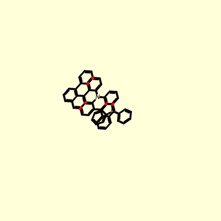 c1ccc(-c2cccc3cccc(-c4ccccc4N(c4ccccc4-c4cccc5ccccc45)c4cccc5c4c4ccccc4n5-c4ccccc4)c23)cc1